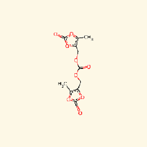 Cc1oc(=O)oc1COC(=O)OCc1oc(=O)oc1C